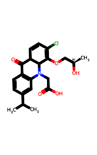 CC(C)c1ccc2c(c1)N(CC(=O)O)C1C(OC[C@@H](C)O)=C(Cl)C=CC1C2=O